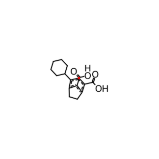 O=C(O)c1cc(C2CCCCC2)c2c(C(=O)O)c1CC2